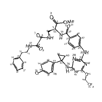 COC(=O)[C@H](CNC(=O)C(=O)NCCc1ccccc1)NC(=O)c1ccc(Nc2nc(NC3(c4ccc(Cl)cc4)CC3)nc(OCC(F)(F)F)n2)cc1